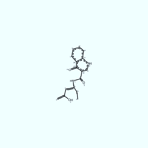 C=C(O)/C=C(\CC)NC(=O)c1c[nH]c2ccccc2c1=O